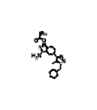 CC(C)(C)C(=O)On1nc(N)c2cc(-c3nnn(Cc4ccccc4)c3I)ccc21